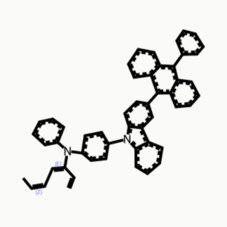 C=C/C(=C\C=C/C)N(c1ccccc1)c1ccc(-n2c3ccccc3c3cc(-c4c5ccccc5c(-c5ccccc5)c5ccccc45)ccc32)cc1